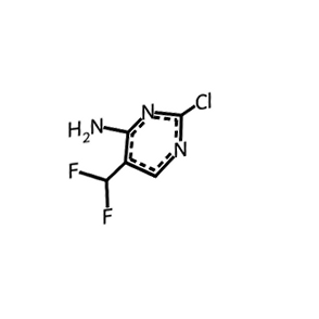 Nc1nc(Cl)ncc1C(F)F